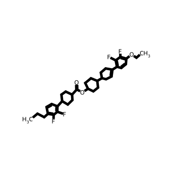 CCCc1ccc(C2CCC(C(=O)OC3CCC(C4CC=C(c5ccc(OCC)c(F)c5F)CC4)CC3)CC2)c(F)c1F